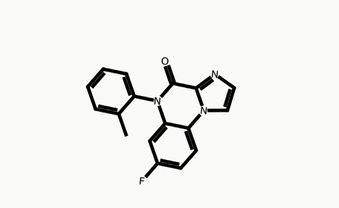 Cc1ccccc1-n1c(=O)c2nccn2c2ccc(F)cc21